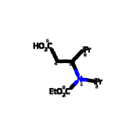 CCOC(=O)N(C(C)C)C(CC(=O)O)C(C)C